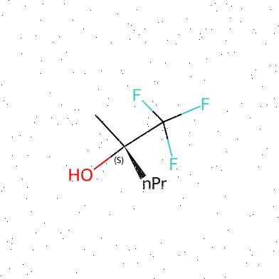 CCC[C@](C)(O)C(F)(F)F